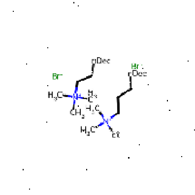 CCCCCCCCCCCCC[N+](C)(C)CC.CCCCCCCCCCCC[N+](C)(C)C.[Br-].[Br-]